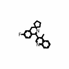 Cc1c(C2=NC3(CCCC3)Cc3cc(F)ccc32)cnc2ccccc12